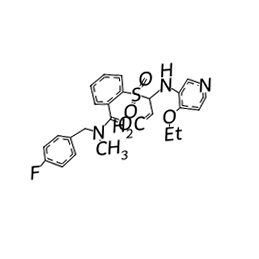 C=CC(Nc1cnccc1OCC)S(=O)(=O)c1ccccc1C(=O)N(C)Cc1ccc(F)cc1